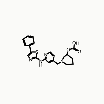 O=C(O)OC1CCCN(Cc2ccnc(Nc3ncc(-c4ccccc4)s3)c2)C1